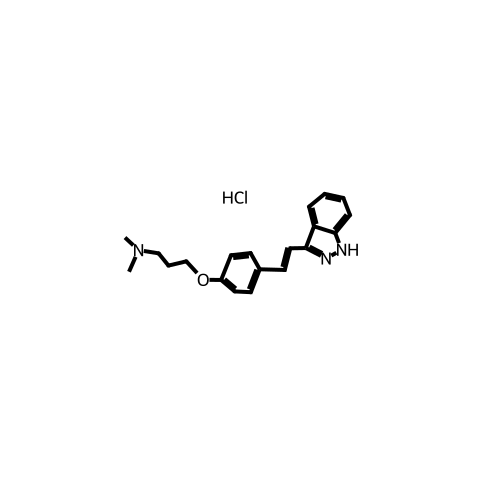 CN(C)CCCOc1ccc(C=Cc2n[nH]c3ccccc23)cc1.Cl